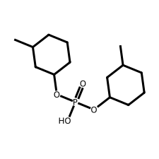 CC1CCCC(OP(=O)(O)OC2CCCC(C)C2)C1